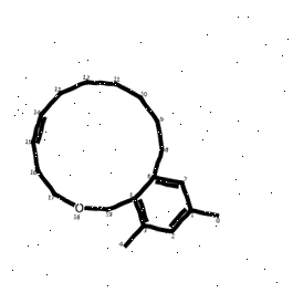 Cc1cc(C)c2c(c1)CCCCCC/C=C\CCOC2